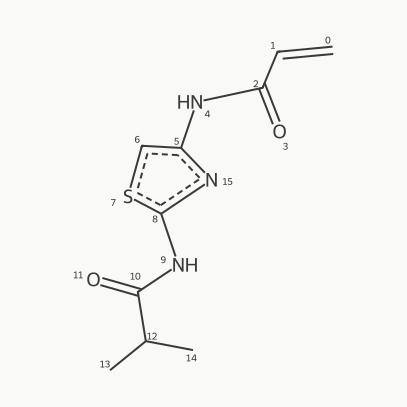 C=CC(=O)Nc1csc(NC(=O)C(C)C)n1